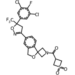 O=C(C1CS(=O)(=O)C1)N1CC2(C1)OCc1cc(C3=NOC(c4cc(Cl)c(F)c(Cl)c4)(C(F)(F)F)C3)ccc12